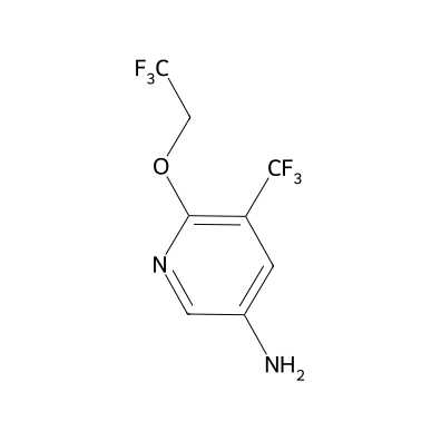 Nc1cnc(OCC(F)(F)F)c(C(F)(F)F)c1